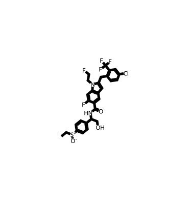 CC[S+]([O-])c1ccc(C(CO)NC(=O)c2cc3cc(Cc4ccc(Cl)cc4C(F)(F)F)n(CCF)c3cc2F)cc1